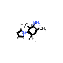 Cc1cc(C)c(-n2cccc2)c(C)c1N